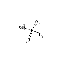 O=[P](O)([Ti])[Ni]